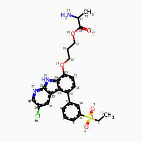 CCS(=O)(=O)c1cccc(-c2ccc(OCCCOC(=O)C(C)N)c3[nH]c4ncc(Cl)cc4c23)c1